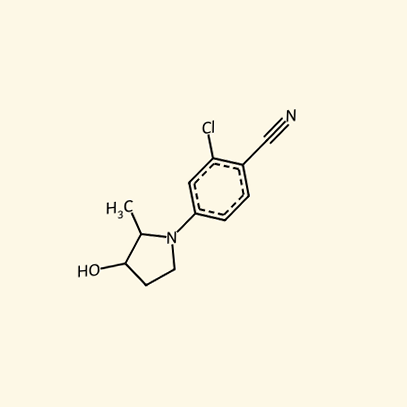 CC1C(O)CCN1c1ccc(C#N)c(Cl)c1